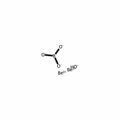 [Be+2].[Be+2].[O-]B([O-])[O-].[OH-]